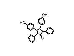 O=C1C(c2ccccc2)=C(c2ccc(O)cc2)C(c2ccc(O)cc2)=C1c1ccccc1